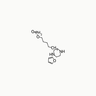 C1CNCCN1.CCCCCO[PH2]=O.c1ccoc1